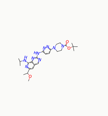 COC(C)c1cc2cnc(Nc3ccc(N4CCN(C(=O)OC(C)(C)C)CC4)nn3)nc2c(NC(C)C)n1